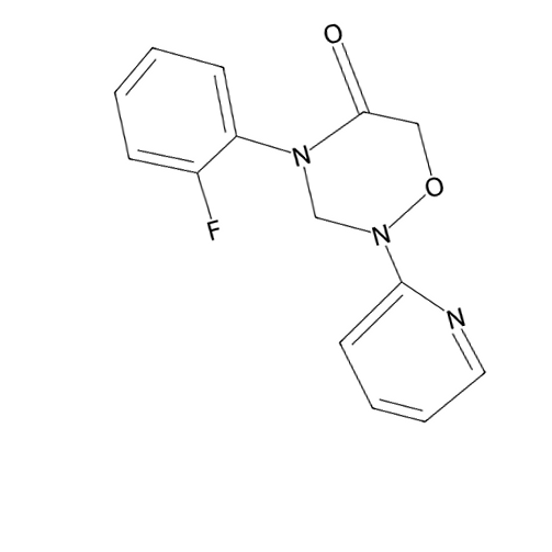 O=C1CON(c2ccccn2)CN1c1ccccc1F